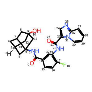 O=C(NC12C[C@H]3CC4CC(O)(C1)CC432)c1ccc(F)c(NC(=O)c2cnc3ccccn23)c1